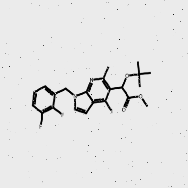 COC(=O)C(OC(C)(C)C)c1c(C)nc2c(ccn2Cc2cccc(F)c2F)c1I